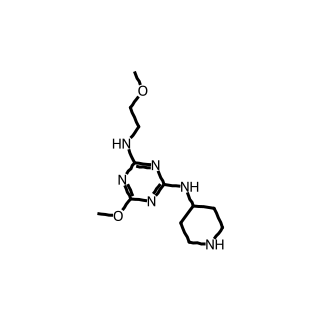 COCCNc1nc(NC2CCNCC2)nc(OC)n1